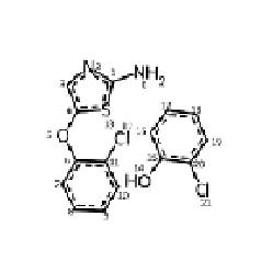 Nc1ncc(Oc2ccccc2Cl)s1.Oc1ccccc1Cl